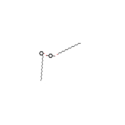 CCCCCCCCCCCCCCCCOC(C)c1ccc(C(=O)Oc2ccccc2CCCCCCCCCCCCCCC)cc1